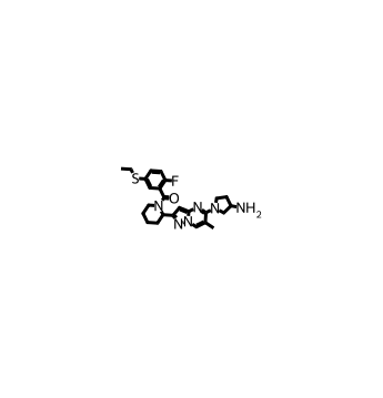 CCSc1ccc(F)c(C(=O)N2CCCCC2c2cc3nc(N4CCC(N)C4)c(C)cn3n2)c1